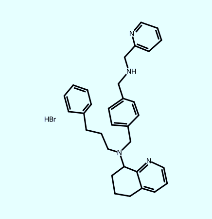 Br.c1ccc(CCCN(Cc2ccc(CNCc3ccccn3)cc2)C2CCCc3cccnc32)cc1